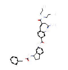 CCCN(CCC)C(=O)C1=Cc2ccc(C(=O)Nc3ccc4c(c3)C(NC(=O)OCc3ccccc3)CC4)cc2N=C(N)C1